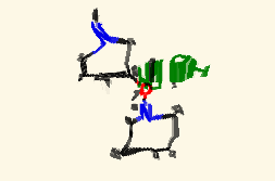 Cl.Cl.c1cncc(ON2CCCCC2)c1